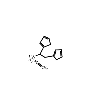 C=C=C.CC(CC1=CC=CC1)C1=CC=CC1